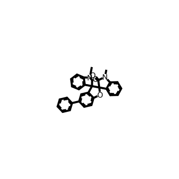 CN1C(=O)C2(Oc3ccc(-c4ccccc4)cc3C23C(=O)N(C)c2ccccc23)c2ccccc21